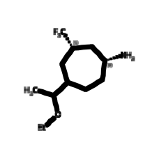 CCOC(C)C1CC[C@@H](N)C[C@@H](C(F)(F)F)C1